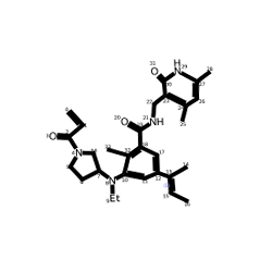 C=CC(=O)N1CCC(N(CC)c2cc(/C(C)=C/C)cc(C(=O)NCc3c(C)cc(C)[nH]c3=O)c2C)C1